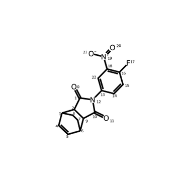 O=C1C2C3C=CC(CC3)C2C(=O)N1c1ccc(F)c([N+](=O)[O-])c1